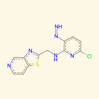 N=Nc1ccc(Cl)nc1NCc1nc2cnccc2s1